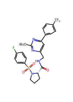 CC(C)COc1nc(CNC(=O)[C@@H]2CCCN2S(=O)(=O)c2ccc(F)cc2)cc(-c2ccc(C(F)(F)F)cc2)n1